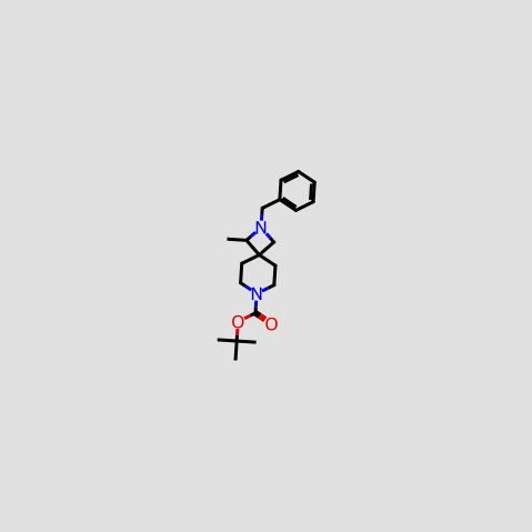 CC1N(Cc2ccccc2)CC12CCN(C(=O)OC(C)(C)C)CC2